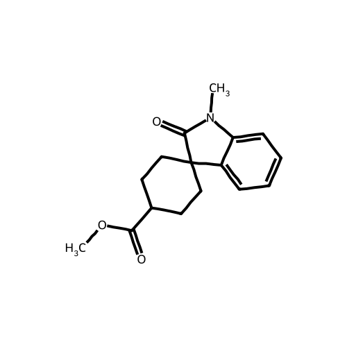 COC(=O)C1CCC2(CC1)C(=O)N(C)c1ccccc12